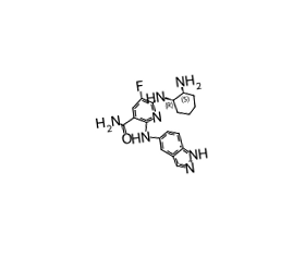 NC(=O)c1cc(F)c(N[C@@H]2CCCC[C@@H]2N)nc1Nc1ccc2[nH]ncc2c1